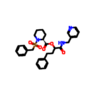 O=C(NCc1cccnc1)C(CCc1ccccc1)OC(=O)[C@H]1CCCCN1S(=O)(=O)Cc1ccccc1